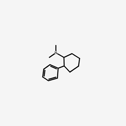 CN(C)C1CCCCC1c1ccccc1